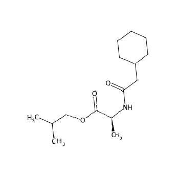 CC(C)COC(=O)[C@H](C)NC(=O)CC1CCCCC1